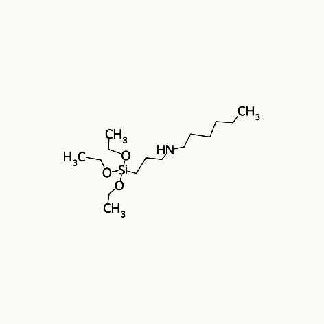 CCCCCCNCCC[Si](OCC)(OCC)OCC